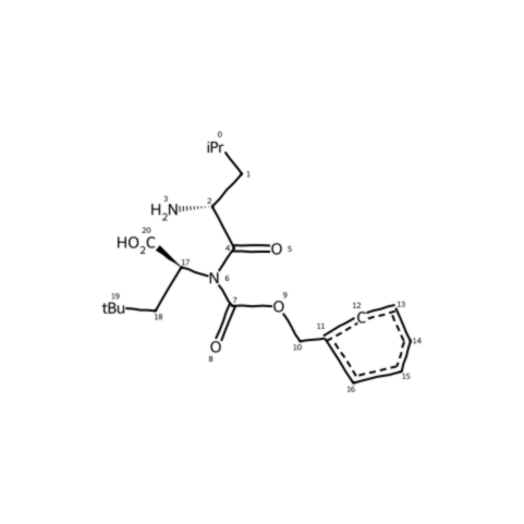 CC(C)C[C@@H](N)C(=O)N(C(=O)OCc1ccccc1)[C@@H](CC(C)(C)C)C(=O)O